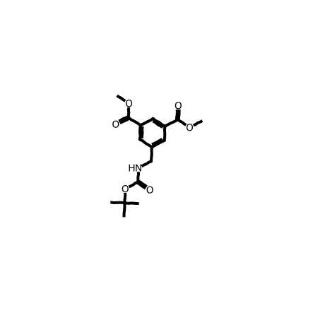 COC(=O)c1cc(CNC(=O)OC(C)(C)C)cc(C(=O)OC)c1